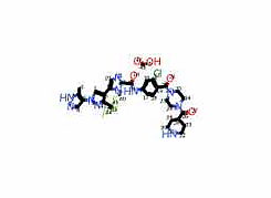 Cc1[nH]ncc1-n1cc(-c2cnc(C(=O)Nc3ccc(C(=O)N4CCN(C(=O)C5CCNCC5)CC4)c(Cl)c3)n2C)c(C(F)(F)F)n1.O=CO